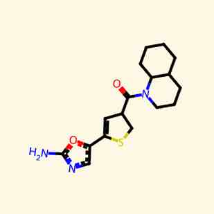 Nc1ncc(C2=CC(C(=O)N3CCCC4CCCCC43)CS2)o1